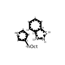 CCCCCCCCc1ccsc1.c1ccc2snnc2c1